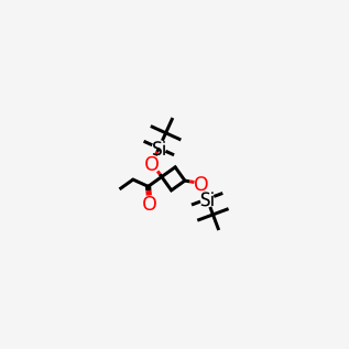 CCC(=O)C1(O[Si](C)(C)C(C)(C)C)CC(O[Si](C)(C)C(C)(C)C)C1